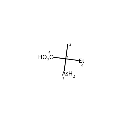 CCC(C)([AsH2])C(=O)O